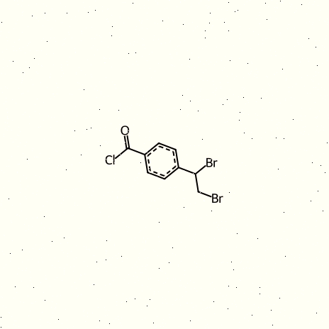 O=C(Cl)c1ccc(C(Br)CBr)cc1